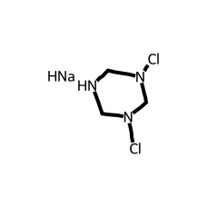 ClN1CNCN(Cl)C1.[NaH]